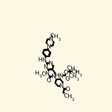 C=CC(=O)N1CC[C@H](N2Cc3cnc(Nc4ccc(N5CCN(C)CC5)cc4)nc3N(C)C2=O)[C@H](NC(=O)OC(C)(C)C)C1